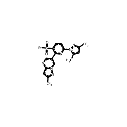 CCS(=O)(=O)c1ccc(-n2nc(C(F)(F)F)cc2C)nc1-c1cnc2cc(C(F)(F)F)nn2c1